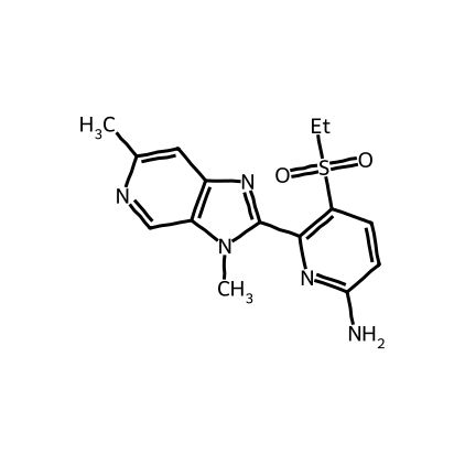 CCS(=O)(=O)c1ccc(N)nc1-c1nc2cc(C)ncc2n1C